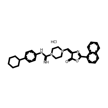 Cl.N=C(Nc1ccc(C2CCCCC2)cc1)N1CCN(/C=C2/N=C(c3cccc4ccccc34)OC2=O)CC1